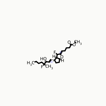 CCCCC(C)(F)[C@H](O)/C=C/[C@H]1CC[C@@H]2O/C(=C\CCCC(=O)OC)C(F)[C@@H]21